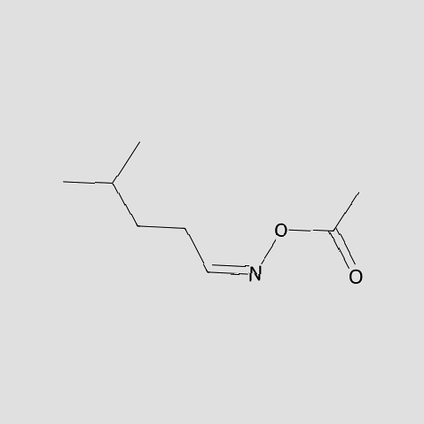 CC(=O)O/N=C\CCC(C)C